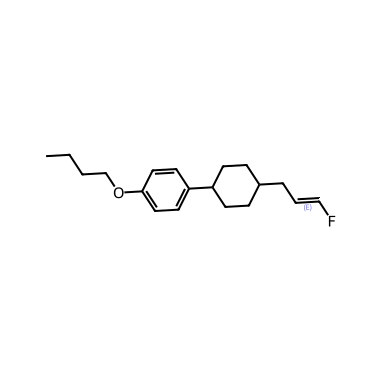 CCCCOc1ccc(C2CCC(C/C=C/F)CC2)cc1